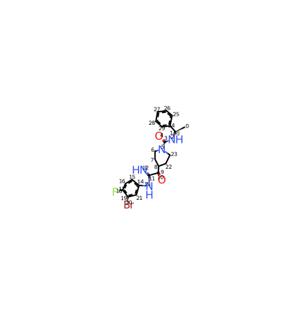 C[C@@H](NC(=O)N1CCC(C(=O)C(=N)Nc2ccc(F)c(Br)c2)CC1)c1ccccc1